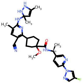 COC1(C(=O)N[C@@H](C)c2ccc(-n3cc(F)cn3)nc2)CCC(c2nc(NC3(C)C=C(C)NN3)c(C)cc2C#N)CC1